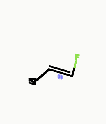 F/C=C/[Si]